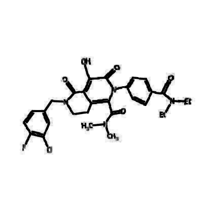 CCN(CC)C(=O)c1ccc(-n2c(C(=O)N(C)C)c3c(c(O)c2=O)C(=O)N(Cc2ccc(F)c(Cl)c2)CC3)cc1